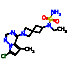 CCN(C1CC2(C1)CN(c1ncnn3c(Cl)cc(C)c13)C2)S(N)(=O)=O